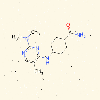 Cc1cnc(N(C)C)nc1NC1CCC(C(N)=O)CC1